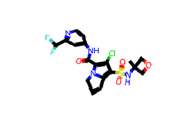 CC1(NS(=O)(=O)c2c(Cl)c(C(=O)Nc3ccnc(C(F)F)c3)n3c2C=CC3)COC1